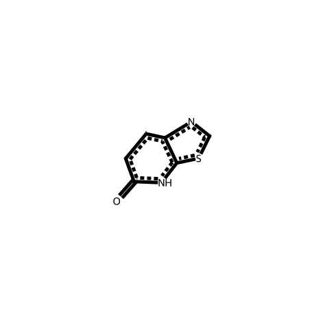 O=c1c[c]c2ncsc2[nH]1